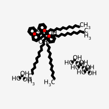 CCCCCCCCCCCCCOC(CCCCCCCCCCCCC)(CCCCCCCCCCCCC)C(CO)(C(CCCCCCCCCCCCC)(Oc1ccccc1)c1ccccc1)C(O)(c1ccccc1)c1ccccc1.OP(O)O.OP(O)O.OP(O)O.OP(O)O